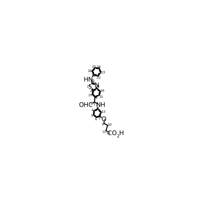 O=CC(Nc1cccc(OCCCC(=O)O)c1)c1ccc2nc(Nc3ccccc3)sc2c1